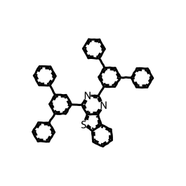 c1ccc(-c2cc(-c3ccccc3)cc(-c3nc(-c4cc(-c5ccccc5)cc(-c5ccccc5)c4)c4sc5ccccc5c4n3)c2)cc1